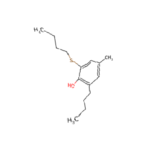 CCCCSc1cc(C)cc(CCCC)c1O